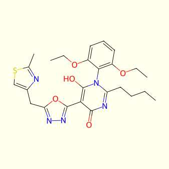 CCCCc1nc(=O)c(-c2nnc(Cc3csc(C)n3)o2)c(O)n1-c1c(OCC)cccc1OCC